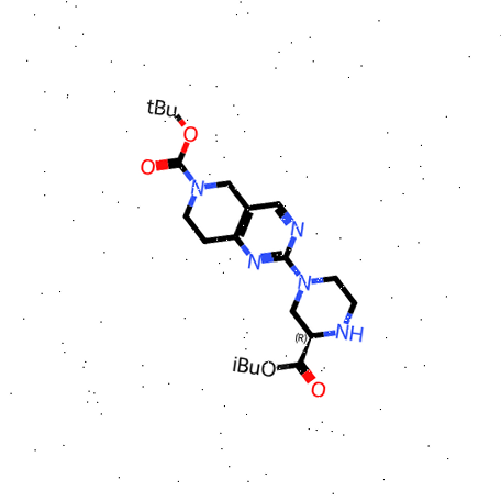 CC(C)COC(=O)[C@H]1CN(c2ncc3c(n2)CCN(C(=O)OC(C)(C)C)C3)CCN1